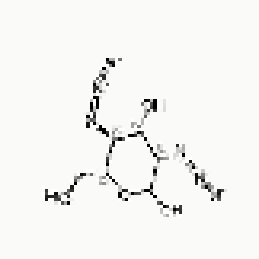 [N-]=[N+]=N[C@H]1[C@H](O)[C@H](N=[N+]=[N-])C(O)O[C@@H]1CO